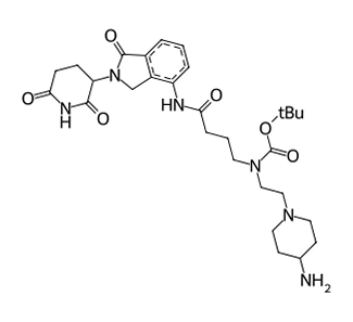 CC(C)(C)OC(=O)N(CCCC(=O)Nc1cccc2c1CN(C1CCC(=O)NC1=O)C2=O)CCN1CCC(N)CC1